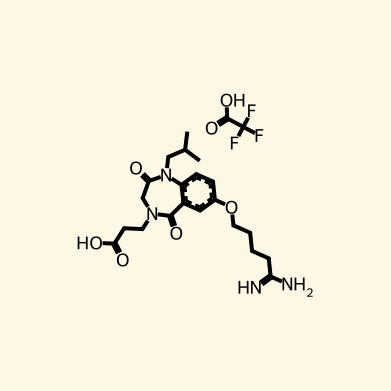 CC(C)CN1C(=O)CN(CCC(=O)O)C(=O)c2cc(OCCCCC(=N)N)ccc21.O=C(O)C(F)(F)F